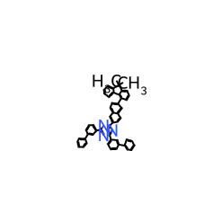 CC1(C)c2ccccc2-c2c(-c3ccc4cc(-c5nc(-c6cccc(-c7ccccc7)c6)nc(-c6cccc(-c7ccccc7)c6)n5)ccc4c3)cccc21